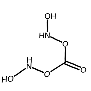 O=C(ONO)ONO